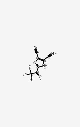 N#Cc1nc(C(=O)C(F)(F)F)[nH]c1C#N